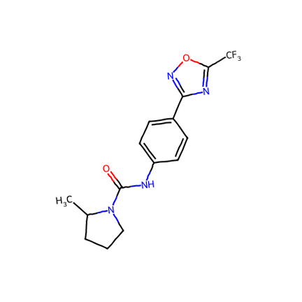 CC1CCCN1C(=O)Nc1ccc(-c2noc(C(F)(F)F)n2)cc1